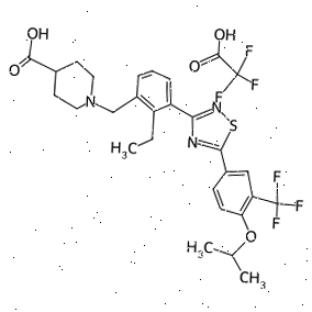 CCc1c(CN2CCC(C(=O)O)CC2)cccc1-c1nsc(-c2ccc(OC(C)C)c(C(F)(F)F)c2)n1.O=C(O)C(F)(F)F